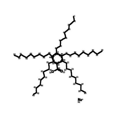 CCCCCCCCCc1c(CCCCCCCCC)c(CCCCCCCCC)c(C(=O)[O-])c(CCCCCCCCC)c1CCCCCCCCC.[Na+]